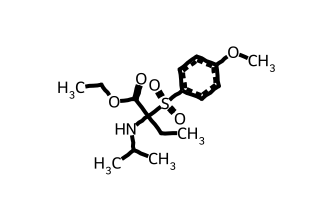 CCOC(=O)C(CC)(NC(C)C)S(=O)(=O)c1ccc(OC)cc1